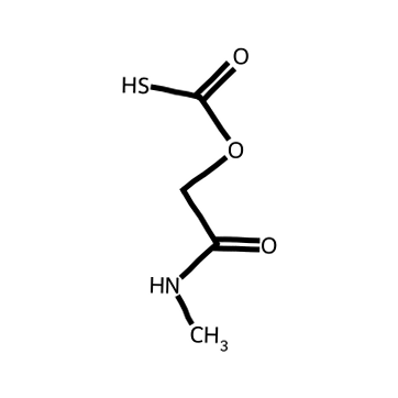 CNC(=O)COC(=O)S